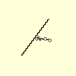 CCCCCCCCCCCCCCC(CCCCCCCCCCCCCC)ON(C)C(C)CCOCCOC